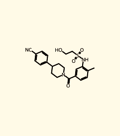 Cc1ccc(C(=O)N2CCC(c3ccc(C#N)cc3)CC2)cc1NS(=O)(=O)CCO